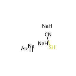 N#CS.[Au].[NaH].[NaH].[NaH]